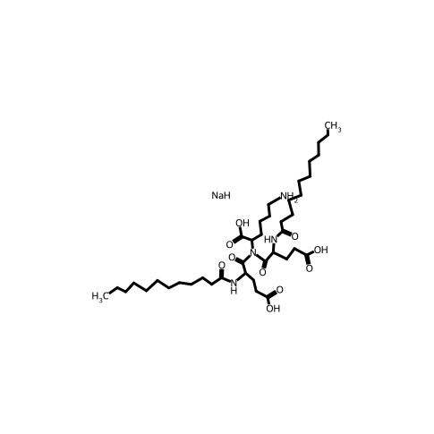 CCCCCCCCCCCC(=O)NC(CCC(=O)O)C(=O)N(C(=O)C(CCC(=O)O)NC(=O)CCCCCCCCCCC)C(CCCCN)C(=O)O.[NaH]